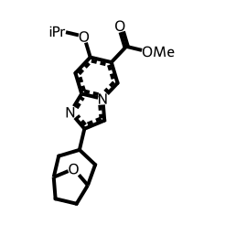 COC(=O)c1cn2cc(C3CC4CCC(C3)O4)nc2cc1OC(C)C